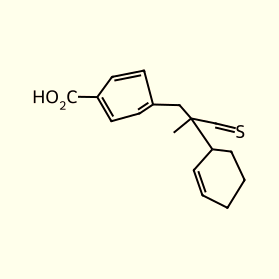 CC(C=S)(Cc1ccc(C(=O)O)cc1)C1C=CCCC1